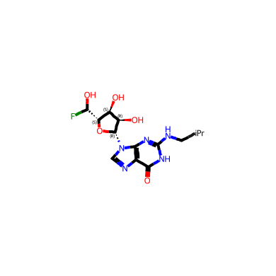 CC(C)CNc1nc2c(ncn2[C@@H]2O[C@H](C(O)F)[C@@H](O)[C@H]2O)c(=O)[nH]1